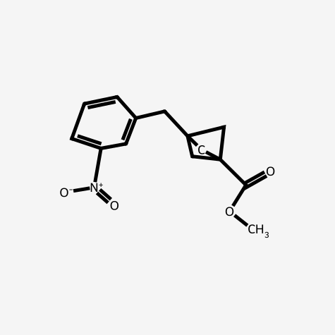 COC(=O)C12CC(Cc3cccc([N+](=O)[O-])c3)(C1)C2